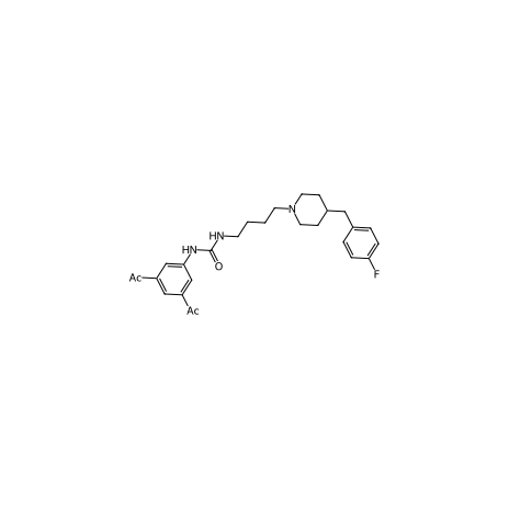 CC(=O)c1cc(NC(=O)NCCCCN2CCC(Cc3ccc(F)cc3)CC2)cc(C(C)=O)c1